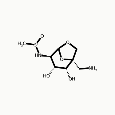 C[S+]([O-])N[C@H]1C2OC[C@](CN)(O2)[C@H](O)[C@@H]1O